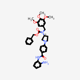 COc1cc(CN(C(=O)OCc2ccccc2)[C@H]2CCN(c3ccc(C(=O)Nc4ccccc4N)cc3)C2)cc(OC)c1OC